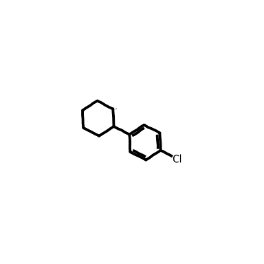 Clc1ccc(C2[CH]CCCC2)cc1